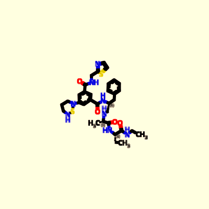 CCNC(=O)[C@H](CC)NC(=O)[C@H](C)NC[C@H](Cc1ccccc1)NC(=O)c1cc(C(=O)NCc2nccs2)cc(N2CCCNS2)c1